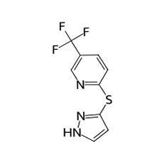 FC(F)(F)c1ccc(Sc2cc[nH]n2)nc1